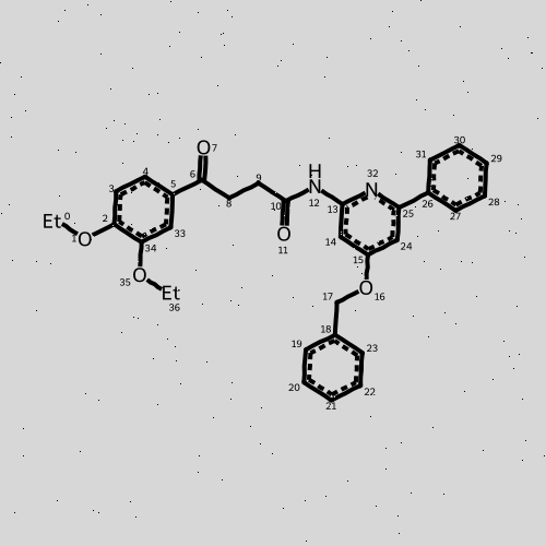 CCOc1ccc(C(=O)CCC(=O)Nc2cc(OCc3ccccc3)cc(-c3ccccc3)n2)cc1OCC